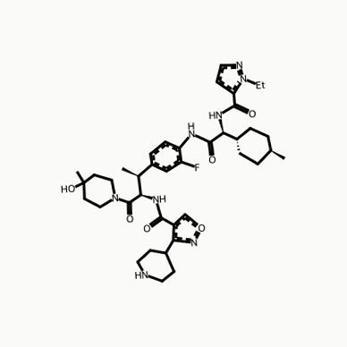 CCn1nccc1C(=O)N[C@H](C(=O)Nc1ccc([C@H](C)[C@@H](NC(=O)c2conc2C2CCNCC2)C(=O)N2CCC(C)(O)CC2)cc1F)[C@H]1CC[C@H](C)CC1